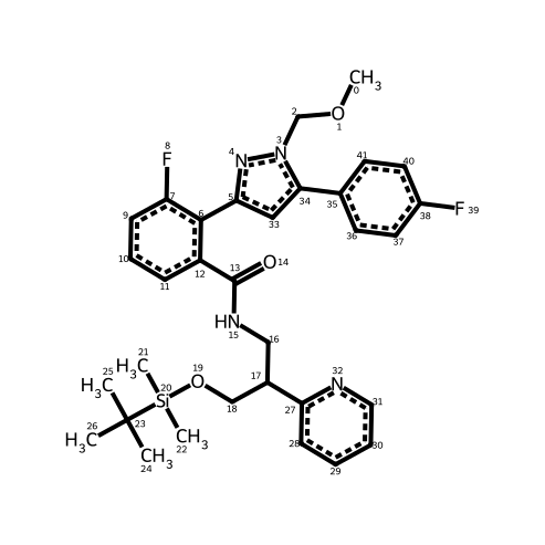 COCn1nc(-c2c(F)cccc2C(=O)NCC(CO[Si](C)(C)C(C)(C)C)c2ccccn2)cc1-c1ccc(F)cc1